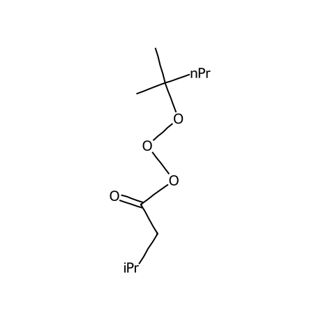 CCCC(C)(C)OOOC(=O)CC(C)C